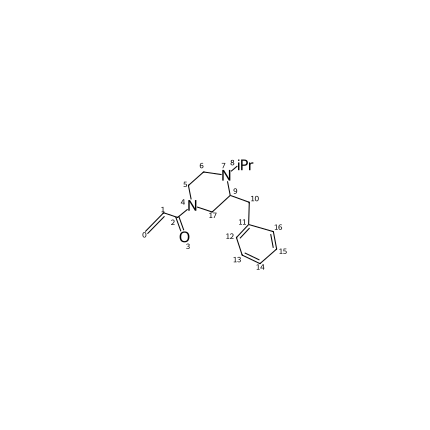 C=CC(=O)N1CCN(C(C)C)C(Cc2ccccc2)C1